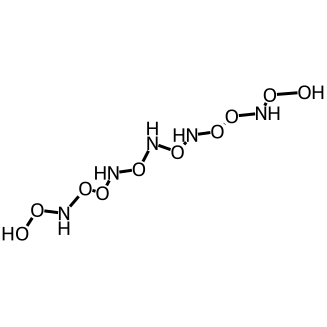 OONOONONONOONOO